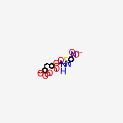 COc1ccc(/C=C\c2cc(OC)c(OC)c(OC)c2)cc1OCC(=O)Nc1nc2ccc([N+](=O)[O-])cc2s1